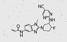 C=CC(=O)Nc1ccc2c(c1)nc(N1CCC(F)C(Nc3ncc(C#N)cn3)C1)n2C